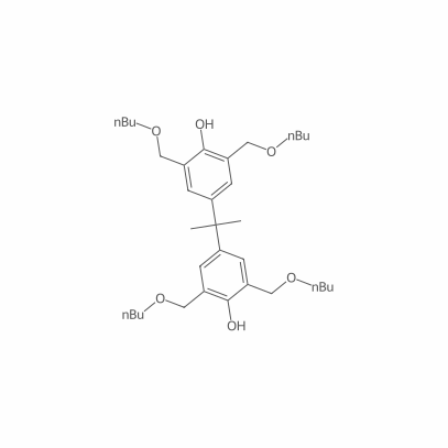 CCCCOCc1cc(C(C)(C)c2cc(COCCCC)c(O)c(COCCCC)c2)cc(COCCCC)c1O